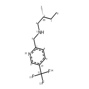 CC[C@@H](C)CNCc1ccc(C(F)(F)F)cn1